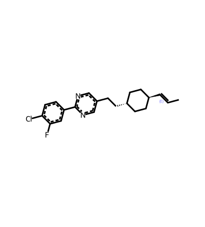 C/C=C/[C@H]1CC[C@H](CCc2cnc(-c3ccc(Cl)c(F)c3)nc2)CC1